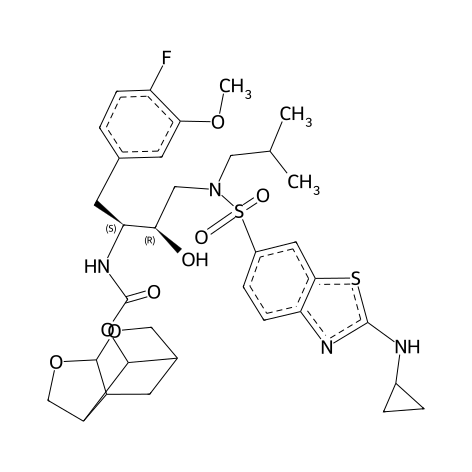 COc1cc(C[C@H](NC(=O)OC2C3COC4OCC2C4C3)[C@H](O)CN(CC(C)C)S(=O)(=O)c2ccc3nc(NC4CC4)sc3c2)ccc1F